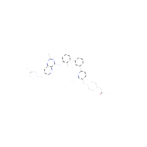 COc1nc(-c2cccc(-c3cccc(Nc4nc(C(F)F)nc5cc(CN6CC[C@@H](O)C6)cnc45)c3C)c2Cl)ccc1CN1CCC(CC(=O)O)CC1